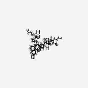 C=CC[C@H](CCCC)[C@@H](C)S(=O)(=O)NC(=O)c1ccc2c(c1)N(C[C@@H]1CC[C@H]1[C@@H](O)/C=C/CCC)C[C@@]1(CCCc3cc(Cl)ccc31)CO2